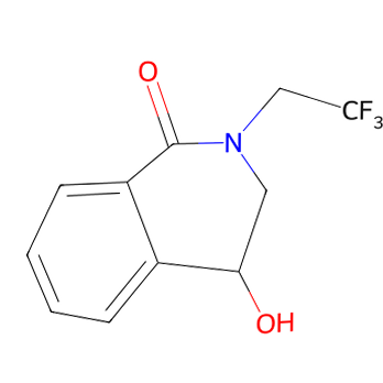 O=C1c2ccccc2C(O)CN1CC(F)(F)F